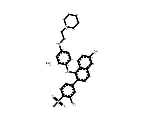 CS(=O)(=O)c1ccc(-c2ccc3cc(O)ccc3c2Oc2ccc(OCCN3CCCCC3)cc2)cc1C(F)(F)F.Cl